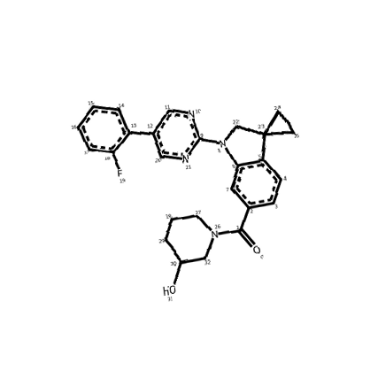 O=C(c1ccc2c(c1)N(c1ncc(-c3ccccc3F)cn1)CC21CC1)N1CCCC(O)C1